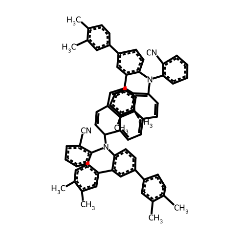 [C-]#[N+]c1ccccc1N(C1=C2C=CC3=C4C(=CC=C(C=C1)C24)C(N(c1ccccc1C#N)c1ccc(-c2ccc(C)c(C)c2)cc1-c1ccc(C)c(C)c1)C=C3)c1ccc(-c2ccc(C)c(C)c2)cc1-c1ccc(C)c(C)c1